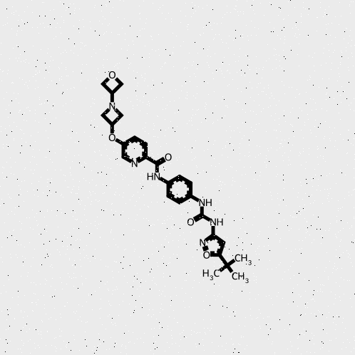 CC(C)(C)c1cc(NC(=O)Nc2ccc(NC(=O)c3ccc(OC4CN(C5COC5)C4)cn3)cc2)no1